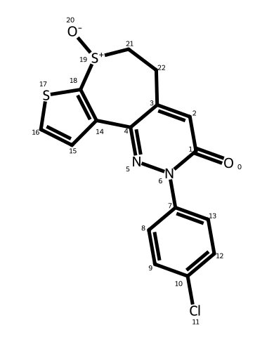 O=c1cc2c(nn1-c1ccc(Cl)cc1)-c1ccsc1[S+]([O-])CC2